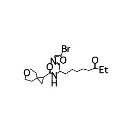 CCC(=O)CCCCCC(NC(=O)C1CC12CCOCC2)c1ncc(Br)o1